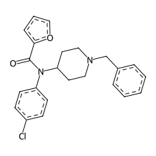 O=C(c1ccco1)N(c1ccc(Cl)cc1)C1CCN(Cc2ccccc2)CC1